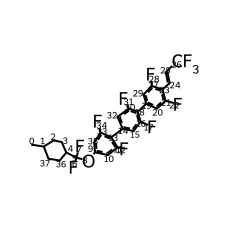 CC1CCC(C(F)(F)Oc2cc(F)c(-c3cc(F)c(-c4cc(F)c(/C=C/C(F)(F)F)c(F)c4)c(F)c3)c(F)c2)CC1